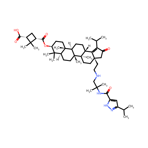 CC(C)C1=C2[C@H]3CC[C@@H]4[C@@]5(C)CC[C@H](OC(=O)[C@H]6C[C@@H](C(=O)O)C6(C)C)C(C)(C)[C@@H]5CC[C@@]4(C)[C@]3(C)CC[C@@]2(CCNCC(C)(C)NC(=O)c2cc(C(C)C)n[nH]2)CC1=O